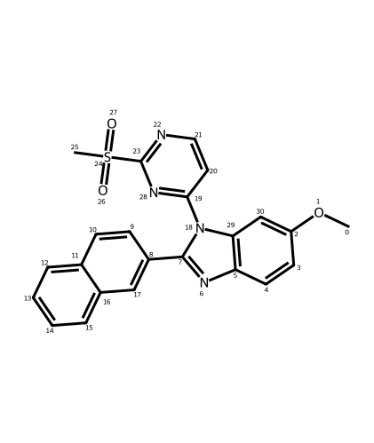 COc1ccc2nc(-c3ccc4ccccc4c3)n(-c3ccnc(S(C)(=O)=O)n3)c2c1